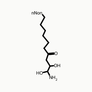 CCCCCCCCCCCCCCCC(=O)CC(O)C(N)O